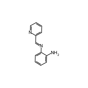 Nc1ccccc1N=Cc1ccccn1